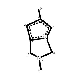 Cc1cc2n(c1)CN(C)C2